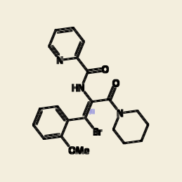 COc1ccccc1/C(Br)=C(\NC(=O)c1ccccn1)C(=O)N1CCCCC1